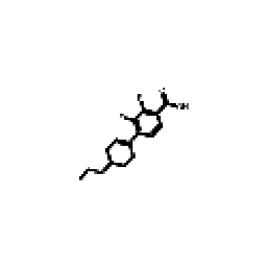 CCCC1CC=C(c2ccc(C(=O)O)c(F)c2F)CC1